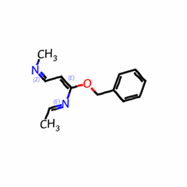 C/C=N/C(=C\C=N/C)OCc1ccccc1